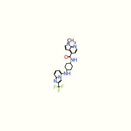 Cn1ccc2c(C(=O)NC3CCC(Nc4cccc5nc(C(F)(F)F)cn45)CC3)ccnc21